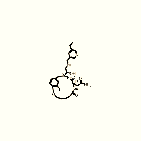 CCc1cncc(CNC[C@@H](O)[C@@H]2Cc3ccc(c(F)c3)OCCCCC(=O)N(C)[C@@H](CC(N)=O)C(=O)N2)c1